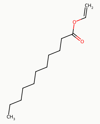 C=COC(=O)CCCCCCCCCC